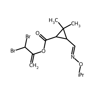 C=C(OC(=O)C1C(C=NOC(C)C)C1(C)C)C(Br)Br